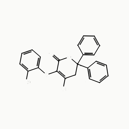 CCC(C)c1ccccc1SC1=C(O)CC(c2ccccc2)(c2ccccc2)OC1=O